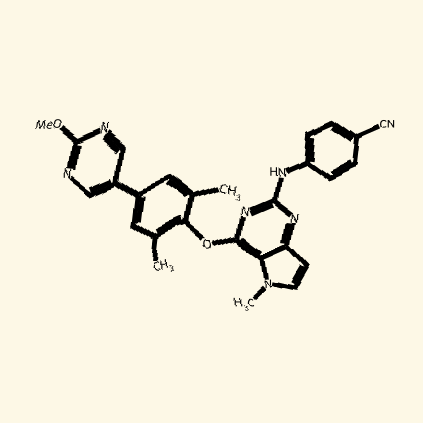 COc1ncc(-c2cc(C)c(Oc3nc(Nc4ccc(C#N)cc4)nc4ccn(C)c34)c(C)c2)cn1